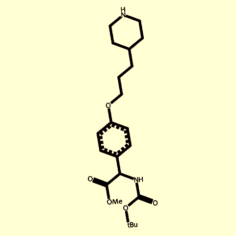 COC(=O)C(NC(=O)OC(C)(C)C)c1ccc(OCCCC2CCNCC2)cc1